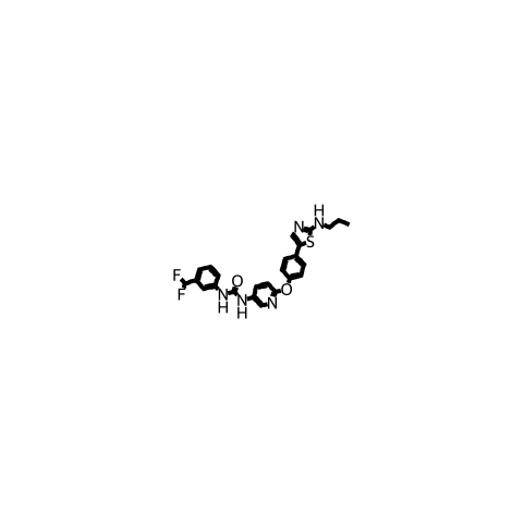 CCCNc1ncc(-c2ccc(Oc3ccc(NC(=O)Nc4cccc(C(F)F)c4)cn3)cc2)s1